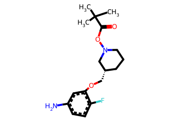 CC(C)(C)C(=O)ON1CCC[C@H](COc2cc(N)ccc2F)C1